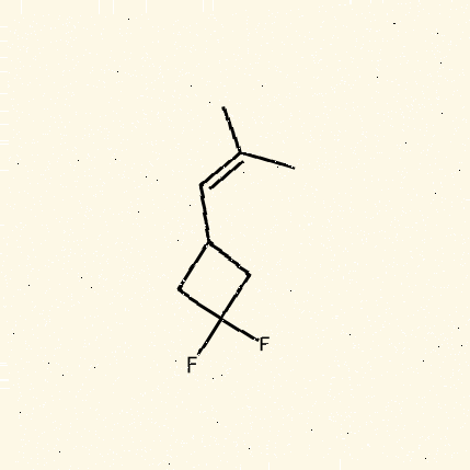 CC(C)=CC1CC(F)(F)C1